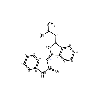 C=C(N)CC1O/C(=C2/C(=O)Nc3ccccc32)c2ccccc21